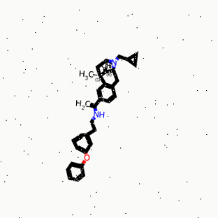 C=C(NCCc1cccc(Oc2ccccc2)c1)c1ccc2c(c1)[C@@]1(C)CCN(CC3CC3)C(C2)[C@@H]1C